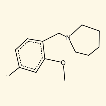 [CH2]c1ccc([CH]N2CCCCC2)c(OC)c1